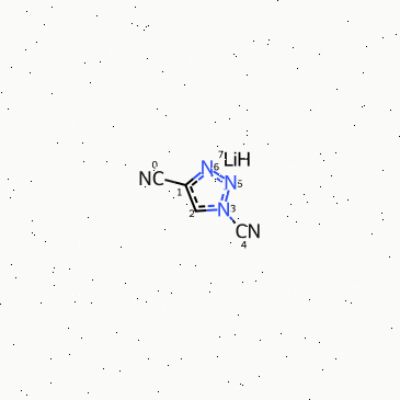 N#Cc1cn(C#N)nn1.[LiH]